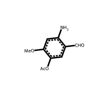 COc1cc(N)c(C=O)cc1OC(C)=O